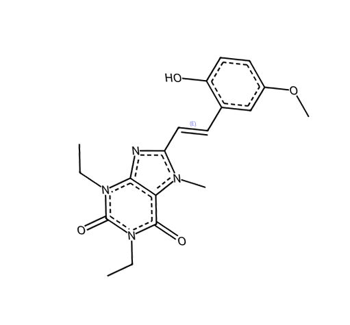 CCn1c(=O)c2c(nc(/C=C/c3cc(OC)ccc3O)n2C)n(CC)c1=O